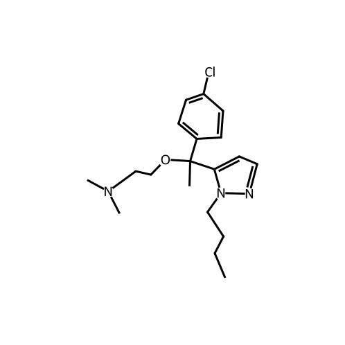 CCCCn1nccc1C(C)(OCCN(C)C)c1ccc(Cl)cc1